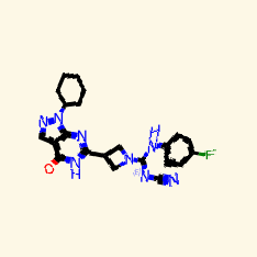 N#C/N=C(\Nc1ccc(F)cc1)N1CC(c2nc3c(cnn3C3CCCCC3)c(=O)[nH]2)C1